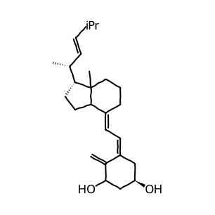 C=C1/C(=C\C=C2/CCCC3(C)C2CC[C@@H]3[C@H](C)/C=C/C(C)C)C[C@@H](O)CC1O